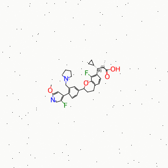 COc1cc(-c2ccc(C3CCc4ccc([C@H](C5CC5)[C@H](C)C(=O)O)c(F)c4O3)cc2CN2CCCC2)c(F)cn1